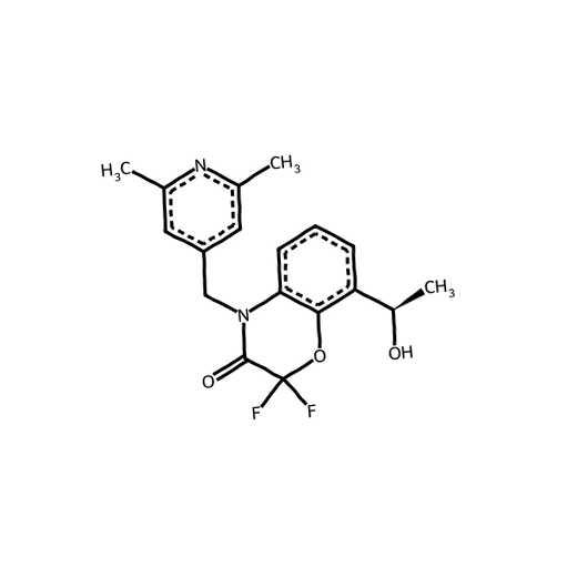 Cc1cc(CN2C(=O)C(F)(F)Oc3c([C@@H](C)O)cccc32)cc(C)n1